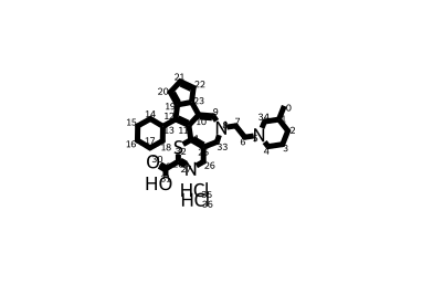 CC1CCCN(CCN2C=C3C(=C(C4CCCCC4)C4=CC=CC34)C3=C(CN=C(C(=O)O)S3)C2)C1.Cl.Cl